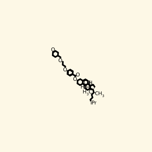 CC(C)CCC[C@@H](C)[C@H]1CC[C@H]2[C@@H]3CC=C4C[C@@H](OC(=O)c5ccc(OCCCOCC6CCC7OC7C6)cc5)CC[C@]4(C)[C@H]3CC[C@]12C